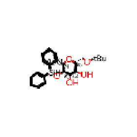 CO[C@@H]1O[C@H](COC(C)(C)C)[C@@H](O)[C@H](O)[C@H]1O[SiH](c1ccccc1)c1ccccc1